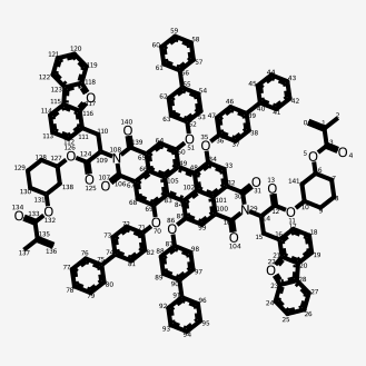 C=C(C)C(=O)OC1CCCC(OC(=O)C(Cc2cccc3c2oc2ccccc23)N2C(=O)c3cc(Oc4ccc(-c5ccccc5)cc4)c4c5c(Oc6ccc(-c7ccccc7)cc6)cc6c7c(cc(Oc8ccc(-c9ccccc9)cc8)c(c8c(Oc9ccc(-c%10ccccc%10)cc9)cc(c3c48)C2=O)c75)C(=O)N(C(Cc2cccc3c2oc2ccccc23)C(=O)OC2CCCC(OC(=O)C(=C)C)C2)C6=O)C1